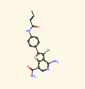 CC=CC(=O)Nc1ccc(-c2sc3c(C(N)=O)cnc(N)c3c2Br)cc1